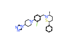 C[C@H]1CC[C@@H](c2ccccc2)SN1Cc1ccc(N2CCC(n3cnnc3)CC2)c(F)c1